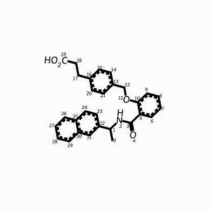 CC(NC(=O)c1ccccc1OCc1ccc(CCC(=O)O)cc1)c1ccc2ccccc2c1